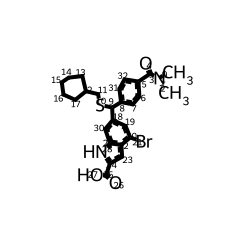 CN(C)C(=O)c1ccc(C(SCC2CCCCC2)c2cc(Br)c3cc(C(=O)O)[nH]c3c2)cc1